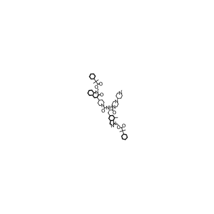 Cc1cc(C[C@@H](NC(=O)N2CCC(c3cc4ccccc4n(COC(=O)C(C)(C)c4ccccc4)c3=O)CC2)C(=O)N2CCN(C3CCN(C)CC3)CC2)cc2cnn(COC(=O)C(C)(C)c3ccccc3)c12